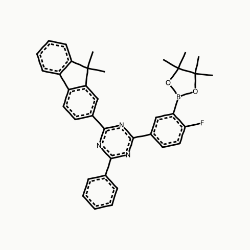 CC1(C)c2ccccc2-c2ccc(-c3nc(-c4ccccc4)nc(-c4ccc(F)c(B5OC(C)(C)C(C)(C)O5)c4)n3)cc21